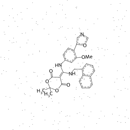 COc1cc(NC(NCc2cccc3ccccc23)=C2C(=O)OC(C)(C)OC2=O)ccc1-c1cnco1